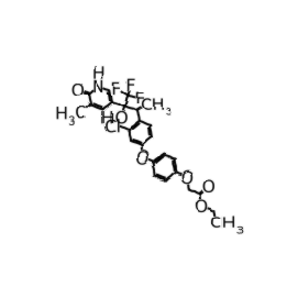 CCOC(=O)COc1ccc(Oc2ccc(C(C)C(O)(c3c[nH]c(=O)c(C)c3)C(F)(F)F)c(Cl)c2)cc1